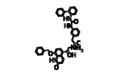 CC(Cc1cccc(NC(=O)Nc2ccccc2-c2ccccc2)c1)NC[C@H](O)c1ccc(OCc2ccccc2)c2[nH]c(=O)ccc12